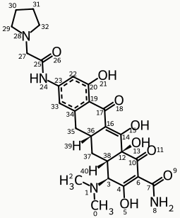 CN(C)[C@@H]1C(O)=C(C(N)=O)C(=O)[C@@]2(O)C(O)=C3C(=O)c4c(O)cc(NC(=O)CN5CCCC5)cc4C[C@H]3C[C@@H]12